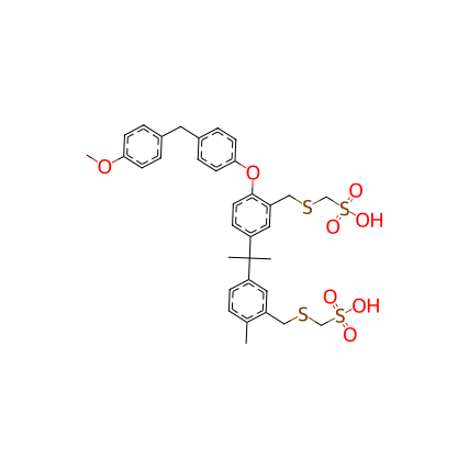 COc1ccc(Cc2ccc(Oc3ccc(C(C)(C)c4ccc(C)c(CSCS(=O)(=O)O)c4)cc3CSCS(=O)(=O)O)cc2)cc1